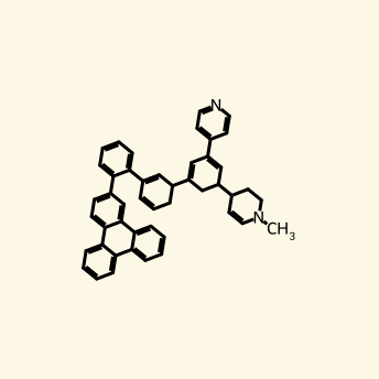 CN1C=CC(C2C=C(c3ccncc3)C=C(C3C=C(c4ccccc4-c4ccc5c6ccccc6c6ccccc6c5c4)C=CC3)C2)CC1